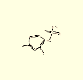 Cc1ccc(OS(N)(=O)=O)c(C)c1